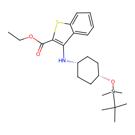 CCOC(=O)c1sc2ccccc2c1N[C@H]1CC[C@@H](O[Si](C)(C)C(C)(C)C)CC1